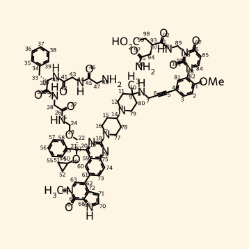 COc1ccc(C#CCNC2(C)CCN(C3CCN(c4nc([C@@](COCNC(=O)CNC(=O)[C@H](Cc5ccccc5)NC(=O)CNC(=O)CN)(OC5CC5)c5ccccc5)c5cc(-c6cn(C)c(=O)c7[nH]ccc67)ccc5n4)CC3)CC2)cc1-n1ccc(=O)n(CNC(=O)[C@@H](CC(N)=O)CC(=O)O)c1=O